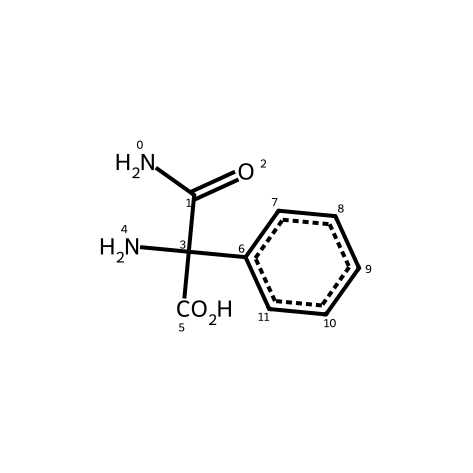 NC(=O)C(N)(C(=O)O)c1ccccc1